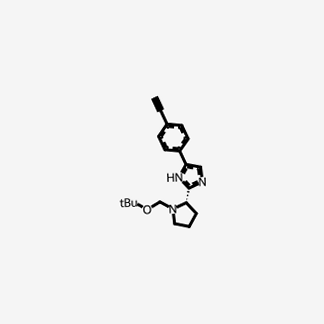 C#Cc1ccc(-c2cnc([C@@H]3CCCN3COC(C)(C)C)[nH]2)cc1